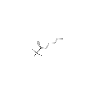 [CH2]C(C)(C)C(=O)CCCCC